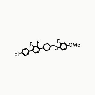 CCc1ccc(-c2ccc(C3CCC(COc4ccc(OC)cc4F)CC3)c(F)c2F)cc1